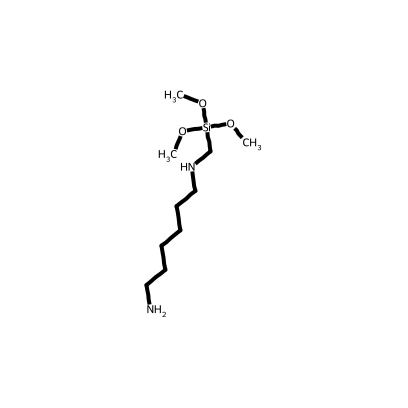 CO[Si](CNCCCCCCN)(OC)OC